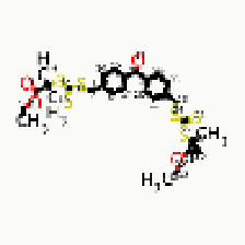 CCOC(=O)C(C)(C)SC(=S)SCc1ccc(C(=O)c2ccc(CSC(=S)SC3(C)C=C3OCC)cc2)cc1